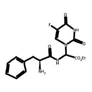 CCOC(=O)C(NC(=O)[C@@H](N)Cc1ccccc1)n1cc(F)c(=O)[nH]c1=O